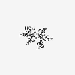 CCOC(=O)Cc1c(C(=O)OCC)c(C)cn1CCOS(C)(=O)=O.CCOC(=O)c1c(C)c(CC)n(CCO)c1CC(=O)O